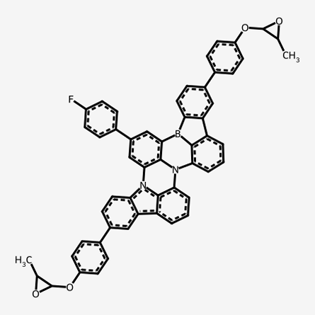 CC1OC1Oc1ccc(-c2ccc3c(c2)-c2cccc4c2B3c2cc(-c3ccc(F)cc3)cc3c2N4c2cccc4c5cc(-c6ccc(OC7OC7C)cc6)ccc5n-3c24)cc1